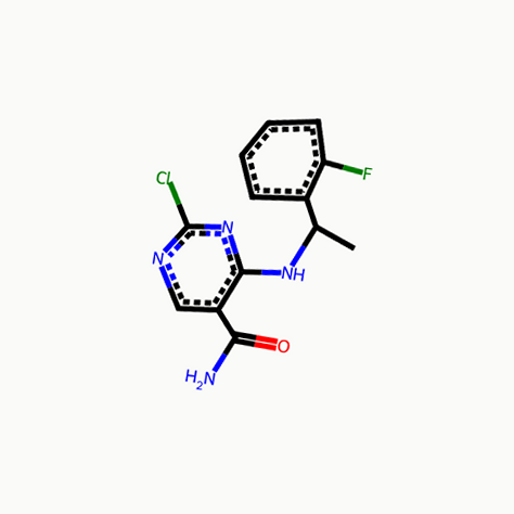 CC(Nc1nc(Cl)ncc1C(N)=O)c1ccccc1F